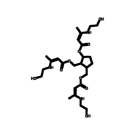 C/C(=C/C(=O)OCC1CCC(OC(=O)/C=C(/C)NCCO)C1COC(=O)/C=C(/C)NCCO)NCCO